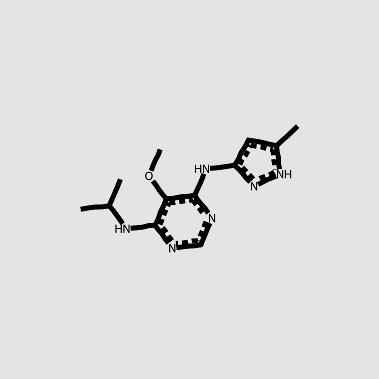 COc1c(Nc2cc(C)[nH]n2)ncnc1NC(C)C